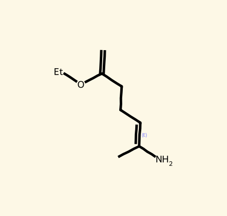 C=C(CC/C=C(\C)N)OCC